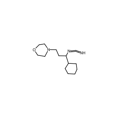 N=C=N[C](CCN1CCOCC1)C1CCCCC1